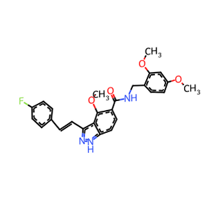 COc1ccc(CNC(=O)c2ccc3[nH]nc(C=Cc4ccc(F)cc4)c3c2OC)c(OC)c1